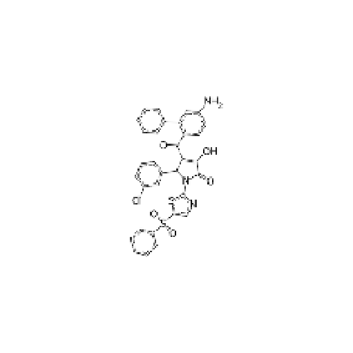 Nc1ccc(C(=O)C2=C(O)C(=O)N(c3ncc(S(=O)(=O)c4ccccc4)s3)C2c2cccc(Cl)c2)c(-c2ccccc2)c1